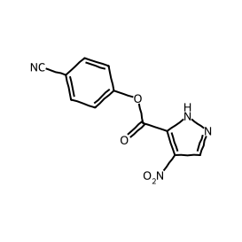 N#Cc1ccc(OC(=O)c2[nH]ncc2[N+](=O)[O-])cc1